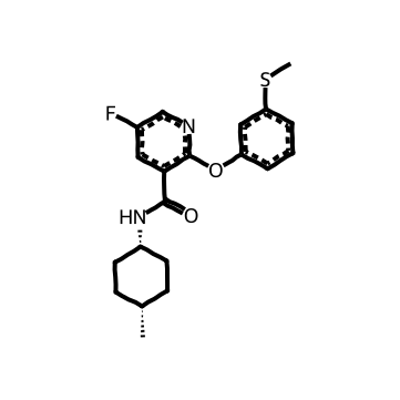 CSc1cccc(Oc2ncc(F)cc2C(=O)N[C@H]2CC[C@@H](C)CC2)c1